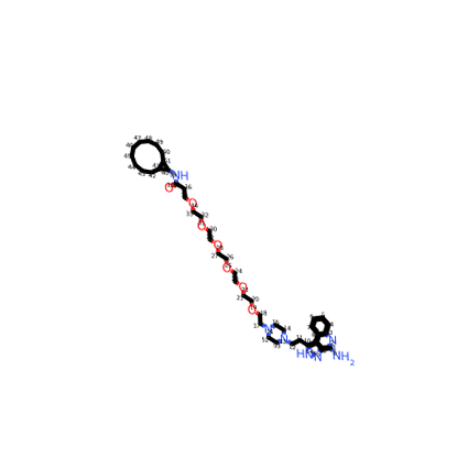 Nc1nc2ccccc2c2c(CCN3CCN(CCOCCOCCOCCOCCOCCOCCC(=O)NC4C5CCCCCCCCCC54)CC3)[nH]nc12